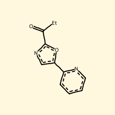 CCC(=O)c1ncc(-c2ccccn2)o1